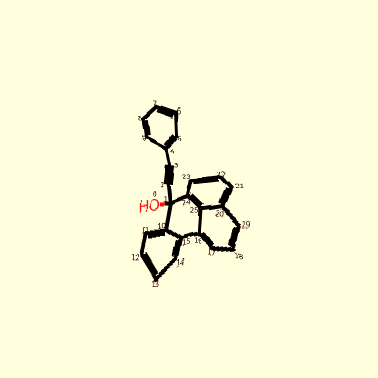 OC1(C#Cc2ccccc2)c2ccccc2-c2cccc3cccc1c23